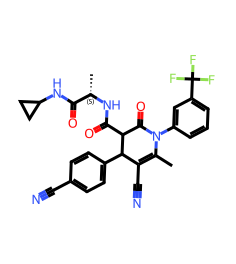 CC1=C(C#N)C(c2ccc(C#N)cc2)C(C(=O)N[C@@H](C)C(=O)NC2CC2)C(=O)N1c1cccc(C(F)(F)F)c1